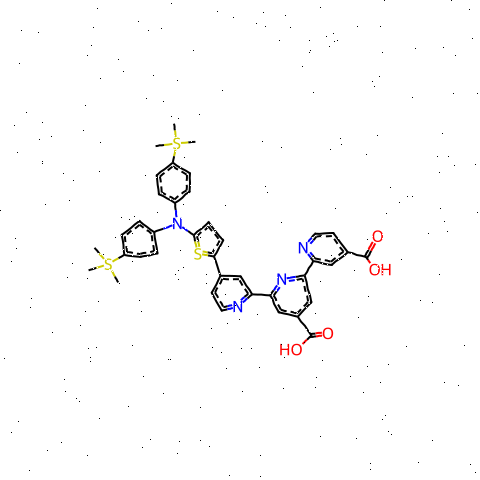 CS(C)(C)c1ccc(N(c2ccc(S(C)(C)C)cc2)c2ccc(-c3ccnc(-c4cc(C(=O)O)cc(-c5cc(C(=O)O)ccn5)n4)c3)s2)cc1